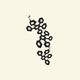 COc1ccc(-c2c(-c3ccccc3)cc(-c3ccc(-c4cc(-c5ccccc5)c(-c5ccc(Oc6ccc(-c7c(-c8ccccc8)ccc(-c8ccccc8)c7-c7ccccc7)cc6)cc5)c(-c5ccccc5)c4-c4ccccc4)cc3)c(-c3ccccc3)c2-c2ccccc2)cc1